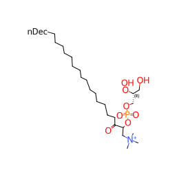 CCCCCCCCCCCCCCCCCCCCCCCCCC(=O)C(C[N+](C)(C)C)OP(=O)([O-])OC[C@@H](CO)OO